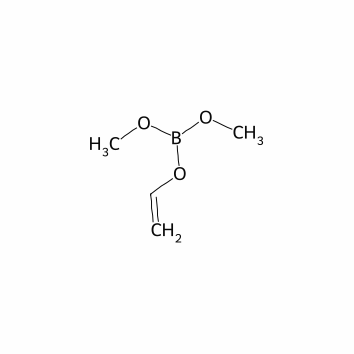 C=COB(OC)OC